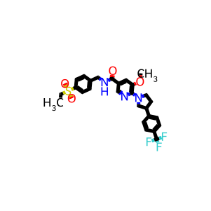 CCS(=O)(=O)c1ccc(CNC(=O)c2cnc(N3CCC(c4ccc(C(F)(F)F)cc4)C3)c(OC)c2)cc1